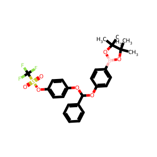 CC1(C)OB(c2ccc(OC(Oc3ccc(OS(=O)(=O)C(F)(F)F)cc3)c3ccccc3)cc2)OC1(C)C